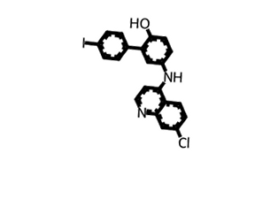 Oc1ccc(Nc2ccnc3cc(Cl)ccc23)cc1-c1ccc(I)cc1